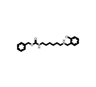 O=C(NCCCCCCNCc1ccccc1Cl)OCc1ccccc1